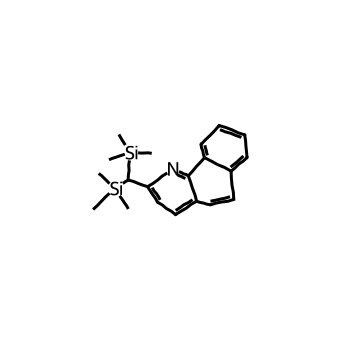 C[Si](C)(C)C(c1ccc2ccc3ccccc3c2n1)[Si](C)(C)C